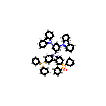 O=P(c1ccccc1)(c1ccccc1)c1ccc2c(c1)c1cc(P(c3ccccc3)c3ccccc3)ccc1n2-c1cc(-n2c3ccccc3c3ccccc32)cc(-n2c3ccccc3c3ccccc32)c1